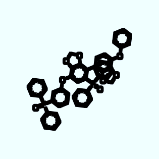 O=P(c1ccccc1)(c1ccccc1)c1cccc(Oc2cc(P(=O)(c3ccccc3)c3ccccc3)c(-c3ccc(Oc4ccccc4)c4c3OCO4)c3c2OCO3)c1